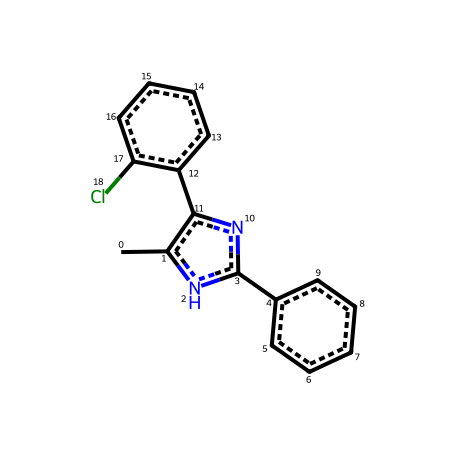 Cc1[nH]c(-c2ccccc2)nc1-c1ccccc1Cl